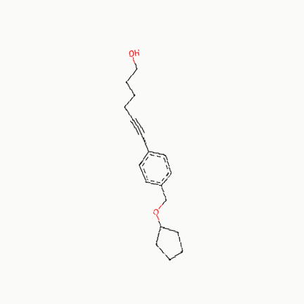 OCCCCC#Cc1ccc(COC2CCCC2)cc1